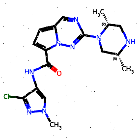 C[C@@H]1CN(c2ncc3ccc(C(=O)Nc4cn(C)nc4Cl)n3n2)[C@H](C)CN1